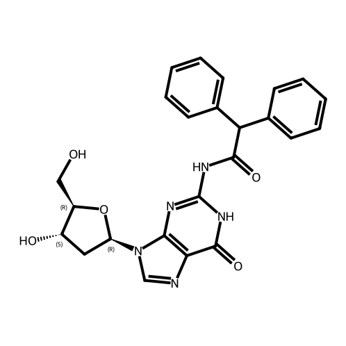 O=C(Nc1nc2c(ncn2[C@H]2C[C@H](O)[C@@H](CO)O2)c(=O)[nH]1)C(c1ccccc1)c1ccccc1